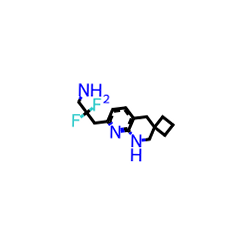 NCC(F)(F)Cc1ccc2c(n1)NCC1(CCC1)C2